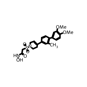 COc1ccc(-c2ccc(C3=CCN(S(=O)(=O)CC(=O)NO)CC3)cc2C)cc1OC